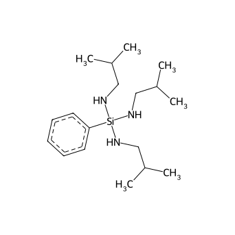 CC(C)CN[Si](NCC(C)C)(NCC(C)C)c1ccccc1